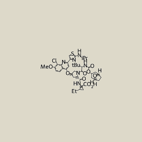 CCC1C[C@]1(NC(=O)[C@@H]1C[C@@H](Oc2cc(-c3csc(NC(C)C)n3)nc3c(Cl)c(OC)ccc23)CN1C(=O)C(NC(=O)OC1C[C@H]2CC[C@@H](C1)O2)C(C)(C)C)C(=O)O